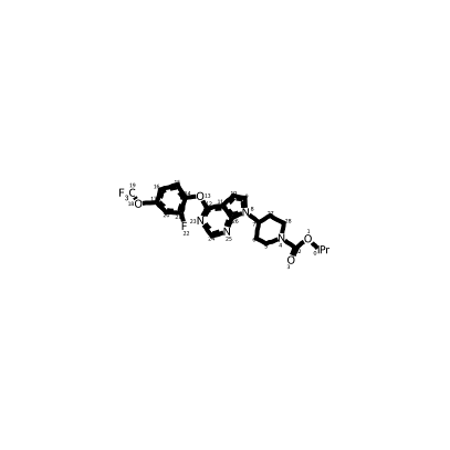 CC(C)OC(=O)N1CCC(n2ccc3c(Oc4ccc(OC(F)(F)F)cc4F)ncnc32)CC1